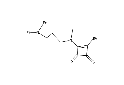 CCN(CC)CCCN(C)c1c(C(C)C)c(=S)c1=S